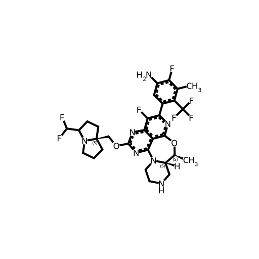 Cc1c(F)c(N)cc(-c2nc3c4c(nc(OC[C@@]56CCCN5C(C(F)F)CC6)nc4c2F)N2CCNC[C@H]2[C@H](C)O3)c1C(F)(F)F